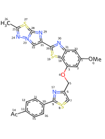 COc1cc(OCc2csc(-c3ccc(C(C)=O)cc3)n2)c2sc(-c3cn4nc(C)sc4n3)nc2c1